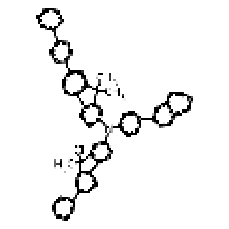 CC1(C)c2cc(-c3ccccc3)ccc2-c2ccc(N(c3ccc(-c4ccc5ccccc5c4)cc3)c3ccc4c(c3)C(C)(C)c3cc(-c5ccc(-c6ccccc6)cc5)ccc3-4)cc21